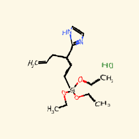 C=CCC(CC[Si](OCC)(OCC)OCC)c1ncc[nH]1.Cl